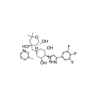 Cc1cccnc1[C@@H]([SH]1C[C@H](O)[C@H](n2cc(-c3cc(F)c(F)c(F)c3)nn2)[C@@H](O)[C@H]1CO)[C@@]1(O)CCOC(C)(C)C1